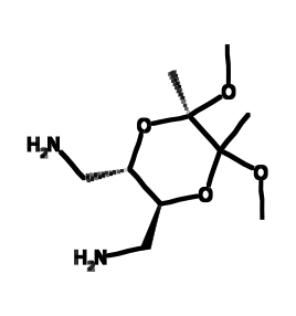 COC1(C)O[C@@H](CN)[C@H](CN)O[C@@]1(C)OC